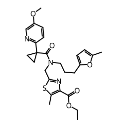 CCOC(=O)c1nc(CN(CCCc2ccc(C)o2)C(=O)C2(c3ccc(OC)cn3)CC2)sc1C